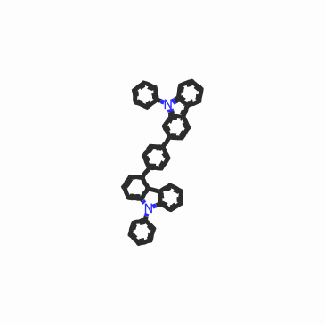 C1=CC(c2ccc(-c3ccc4c5ccccc5n(-c5ccccc5)c4c3)cc2)C2C(=C1)N(c1ccccc1)c1ccccc12